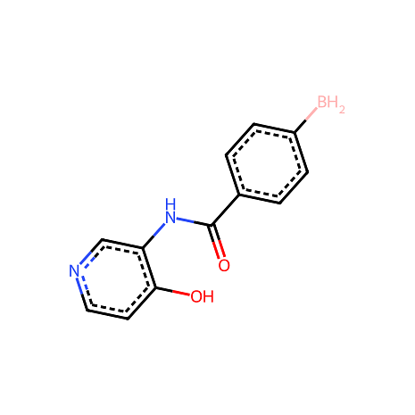 Bc1ccc(C(=O)Nc2cnccc2O)cc1